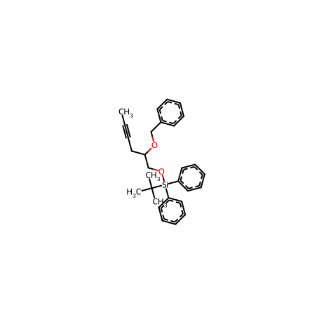 CC#CCC(CO[Si](c1ccccc1)(c1ccccc1)C(C)(C)C)OCc1ccccc1